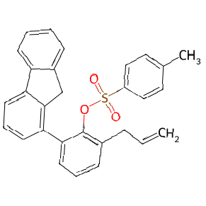 C=CCc1cccc(-c2cccc3c2Cc2ccccc2-3)c1OS(=O)(=O)c1ccc(C)cc1